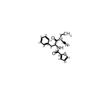 CCN(C#N)C(=O)C(Cc1ccccc1)NC(=O)c1cccs1